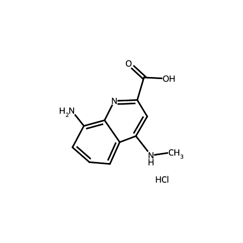 CNc1cc(C(=O)O)nc2c(N)cccc12.Cl